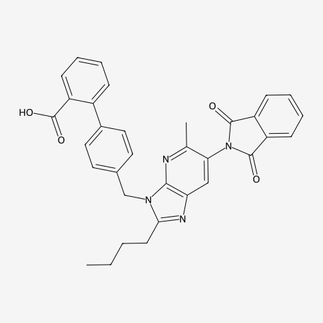 CCCCc1nc2cc(N3C(=O)c4ccccc4C3=O)c(C)nc2n1Cc1ccc(-c2ccccc2C(=O)O)cc1